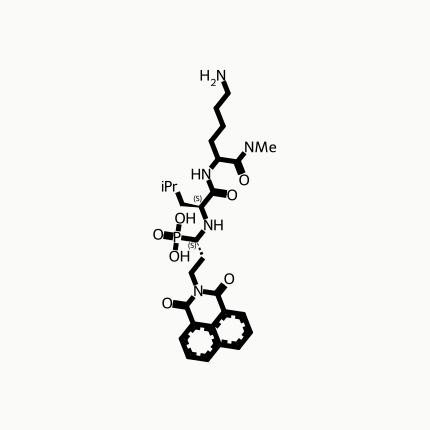 CNC(=O)C(CCCCN)NC(=O)[C@H](CC(C)C)N[C@H](CCN1C(=O)c2cccc3cccc(c23)C1=O)P(=O)(O)O